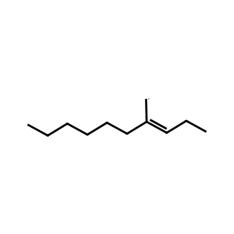 [CH2]/C(=C\CC)CCCCCC